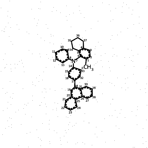 Cc1ccc2c(c1N(c1ccccc1)c1ccc(-c3cc4ccccc4c4ccccc34)cc1)CCCC2